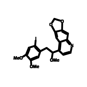 COc1cc(I)c(CC(OC)c2ccnc3cc4c(cc23)OCO4)cc1OC